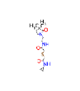 CC1(C)CCN(CCNC(=O)CSCC(=O)NC2CC2)C1=O